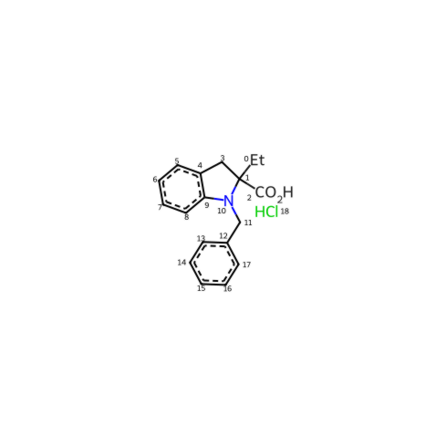 CCC1(C(=O)O)Cc2ccccc2N1Cc1ccccc1.Cl